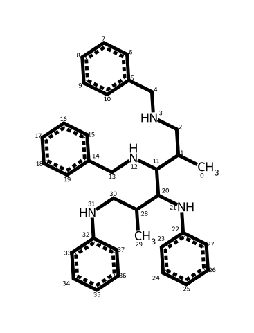 CC(CNCc1ccccc1)C(NCc1ccccc1)C(Nc1ccccc1)C(C)CNc1ccccc1